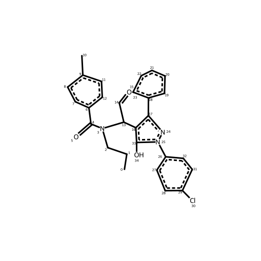 CCCN(C(=O)c1ccc(C)cc1)C(C=O)c1c(-c2ccccc2)nn(-c2ccc(Cl)cc2)c1O